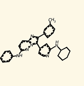 Cc1cccc(-c2nc3ccc(Nc4ccccc4)nn3c2-c2ccnc(NC3CCCCC3)c2)c1